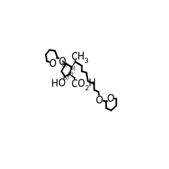 CC(CCCCCCCOC1CCCCO1)[C@H]1[C@@H](CC(=O)O)[C@@H](O)C[C@H]1OC1CCCCO1